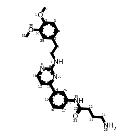 COc1ccc(CCNc2nccc(-c3cccc(NC(=O)CCCN)c3)n2)cc1OC